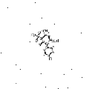 Cc1cc(O)n(-c2ccc(Cl)cc2)c(=O)c1S(=O)(=O)O